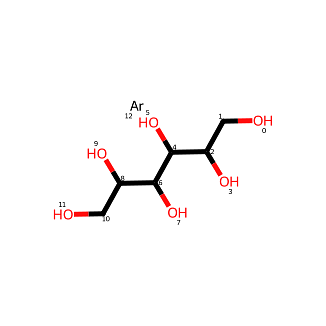 OCC(O)C(O)C(O)C(O)CO.[Ar]